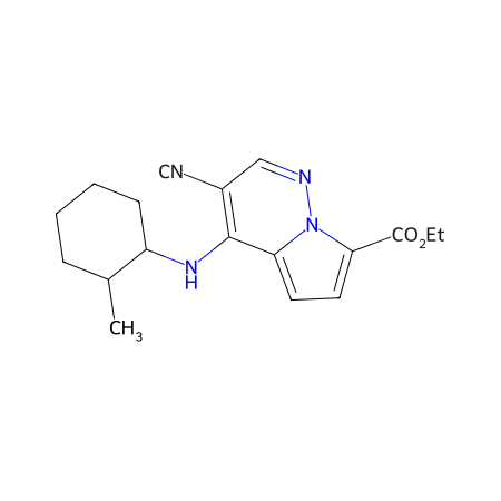 [C-]#[N+]c1cnn2c(C(=O)OCC)ccc2c1NC1CCCCC1C